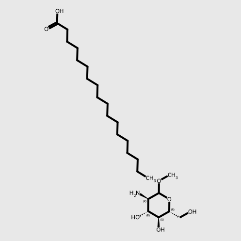 CCCCCCCCCCCCCCCCCC(=O)O.COC1O[C@H](CO)[C@@H](O)[C@H](O)[C@H]1N